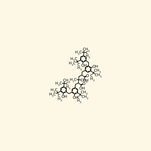 CC(C)(C)c1cc(Cc2cc(CC(CC(C)(C)C(Cc3cc(Cc4cc(C(C)(C)C)cc(C(C)(C)C)c4O)c(O)c(C(C)(C)C)c3)C(=O)O)C(=O)O)cc(C(C)(C)C)c2O)c(O)c(C(C)(C)C)c1